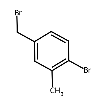 Cc1cc(CBr)ccc1Br